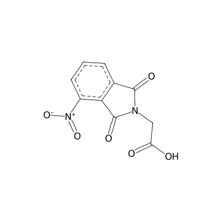 O=C(O)CN1C(=O)c2cccc([N+](=O)[O-])c2C1=O